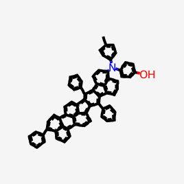 Cc1ccc(N(c2ccc(O)cc2)c2ccc3c4c(-c5ccccc5)c5c6ccc7c8ccc(-c9ccccc9)c9cccc(c%10ccc(c5c(-c5ccccc5)c4c4cccc2c43)c6c%107)c98)cc1